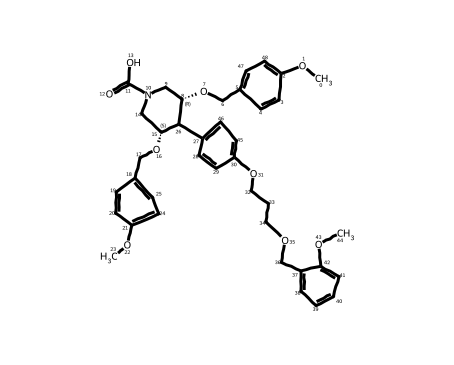 COc1ccc(CO[C@H]2CN(C(=O)O)C[C@@H](OCc3ccc(OC)cc3)C2c2ccc(OCCCOCc3ccccc3OC)cc2)cc1